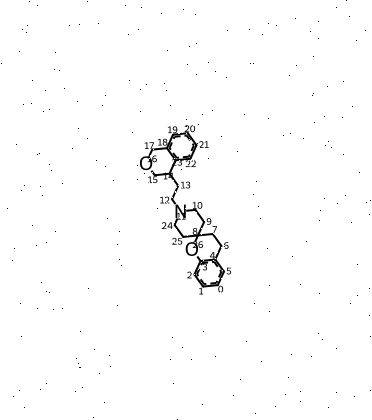 c1ccc2c(c1)CCC1(CCN(CCC3COCc4ccccc43)CC1)O2